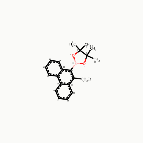 CCOC(=O)c1c(B2OC(C)(C)C(C)(C)O2)c2ccccc2c2ccccc12